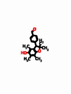 Cc1c(C)c2c(c(C)c1O)C(c1ccc(C=O)cc1)C(C)(C)O2